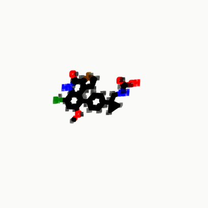 COc1cc(Br)c2[nH]c(=O)c3sccc3c2c1-c1ccc(C2(CNC(=O)O)CC2)cc1